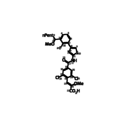 CCCCCC(OC)c1cccc(-c2csc(NC(=O)c3cc(Cl)c(/C=C(\OC)C(=O)O)c(Cl)c3)n2)c1F